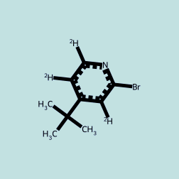 [2H]c1nc(Br)c([2H])c(C(C)(C)C)c1[2H]